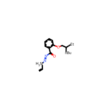 C=C[SiH2]N=NC(=O)c1ccccc1OCC(CC)CCCC